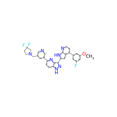 COc1cc(F)cc(-c2ccnc3[nH]c(-c4n[nH]c5ccc(-c6cncc(CN7CCC(F)(F)C7)c6)nc45)cc23)c1